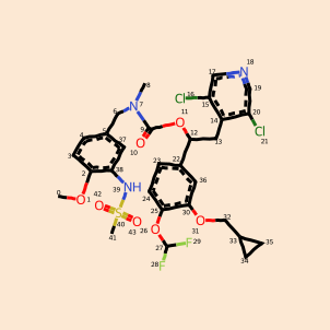 COc1ccc(CN(C)C(=O)OC(Cc2c(Cl)cncc2Cl)c2ccc(OC(F)F)c(OCC3CC3)c2)cc1NS(C)(=O)=O